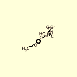 CCCCOc1ccc(OCC(O)Cn2cc([N+](=O)[O-])nc2Cl)cc1